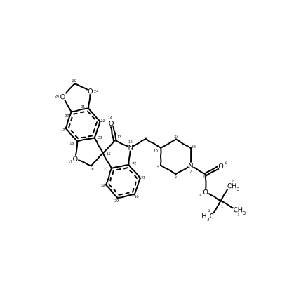 CC(C)(C)OC(=O)N1CCC(CN2C(=O)C3(COc4cc5c(cc43)OCO5)c3ccccc32)CC1